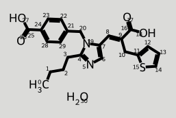 CCCCc1ncc(/C=C(\Cc2cccs2)C(=O)O)n1Cc1ccc(C(=O)O)cc1.O